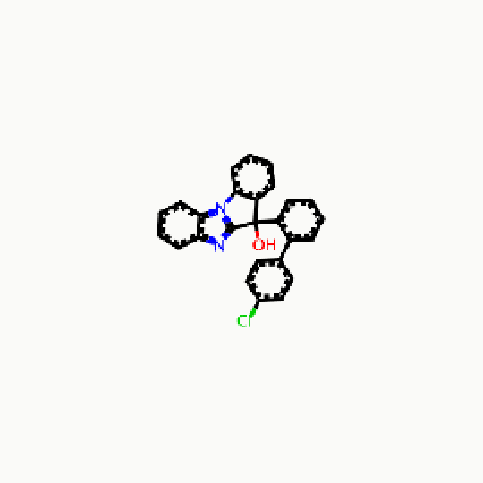 OC1(c2ccccc2-c2ccc(Cl)cc2)c2ccccc2-n2c1nc1ccccc12